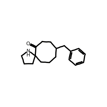 O=C1CCC(Cc2ccccc2)CCCC12CCCN2